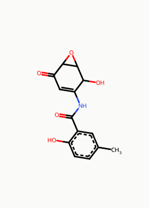 Cc1ccc(O)c(C(=O)NC2=CC(=O)C3OC3C2O)c1